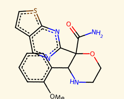 COc1ccccc1C1NCCOC1(C(N)=O)c1ncc2ccsc2n1